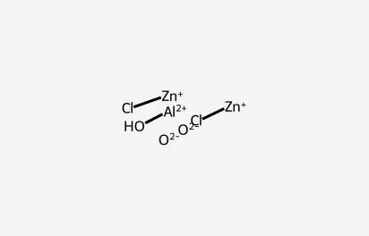 [Cl][Zn+].[Cl][Zn+].[O-2].[O-2].[OH][Al+2]